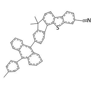 Cc1ccc(-c2c3ccccc3c(-c3ccc4c(c3)C(C)(C)c3ccc5c(sc6cc(C#N)ccc65)c3-4)c3ccccc23)cc1